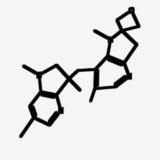 Cc1cnc2c(c1)N(C)CC2(C)Cc1c(C)cnc2c1N(C)C1(COC1)C2